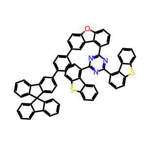 c1ccc2c(c1)-c1ccccc1C21c2ccccc2-c2cc(-c3ccc(-c4ccc5oc6cccc(-c7nc(-c8cccc9sc%10ccccc%10c89)nc(-c8cccc9sc%10ccccc%10c89)n7)c6c5c4)cc3)ccc21